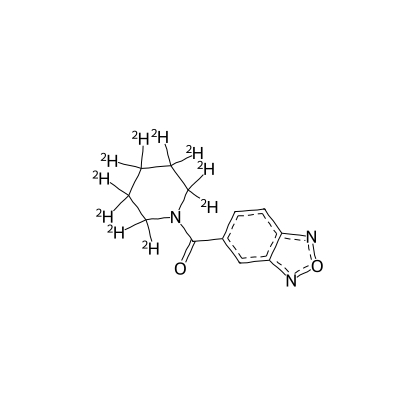 [2H]C1([2H])N(C(=O)c2ccc3nonc3c2)C([2H])([2H])C([2H])([2H])C([2H])([2H])C1([2H])[2H]